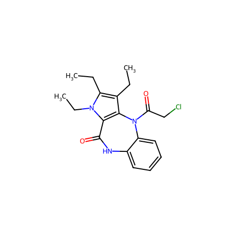 CCc1c2c(n(CC)c1CC)C(=O)Nc1ccccc1N2C(=O)CCl